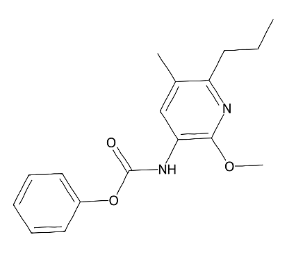 CCCc1nc(OC)c(NC(=O)Oc2ccccc2)cc1C